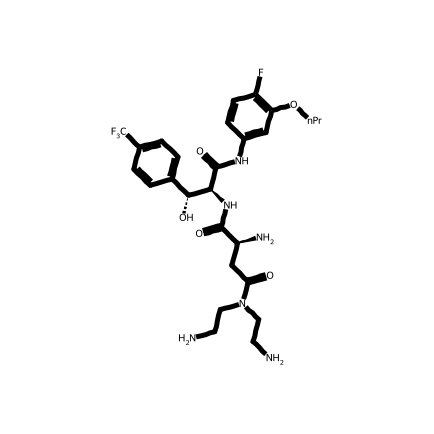 CCCOc1cc(NC(=O)[C@@H](NC(=O)[C@@H](N)CC(=O)N(CCN)CCN)[C@H](O)c2ccc(C(F)(F)F)cc2)ccc1F